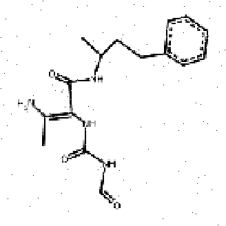 C/C(N)=C(\NC(=O)NC=O)C(=O)NC(C)CCc1ccccc1